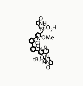 COc1nc(-c2cccc(-c3cccc(-c4ccc5c(n4)N(C)CCC5N(CC4CCC(=O)N4)C(=O)OC(C)(C)C)c3Cl)c2Cl)ccc1CN(CC1CCC(=O)N1)C(=O)O